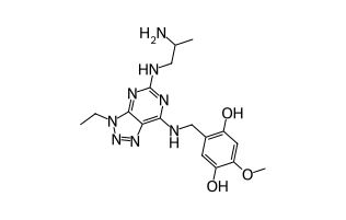 CCn1nnc2c(NCc3cc(O)c(OC)cc3O)nc(NCC(C)N)nc21